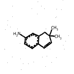 CC1(C)C=Cc2ccc(N)cc2C1